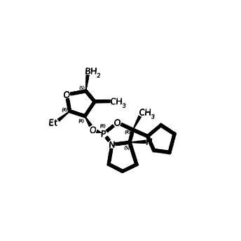 B[C@@H]1O[C@H](CC)[C@H](O[P@@]2O[C@](C)(C3CCCC3)[C@@H]3CCCN32)C1C